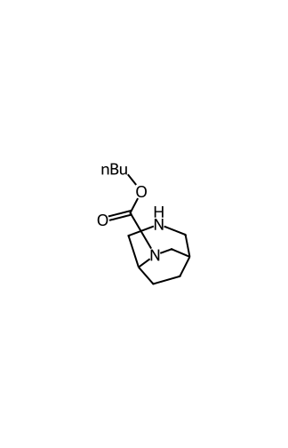 CCCCOC(=O)N1CC2CCC1CNC2